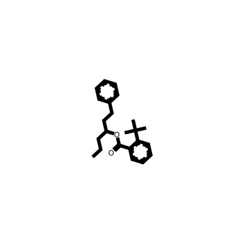 CCCC(CCc1ccccc1)OC(=O)c1ccccc1C(C)(C)C